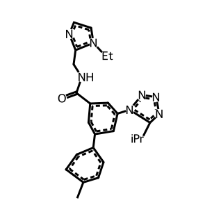 CCn1ccnc1CNC(=O)c1cc(-c2ccc(C)cc2)cc(-n2nnnc2C(C)C)c1